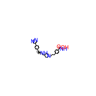 O=C(NO)c1ccc(CCCN2CCC(CN[C@@H]3C[C@H]3c3ccc(-c4cncnc4)cc3)CC2)cc1